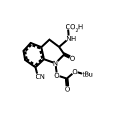 CC(C)(C)OC(=O)ON1C(=O)C(NC(=O)O)Cc2cccc(C#N)c21